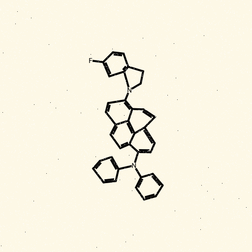 Fc1ccc2c(c1)N(c1ccc3ccc4c(N(c5ccccc5)c5ccccc5)ccc5ccc1c3c54)CC2